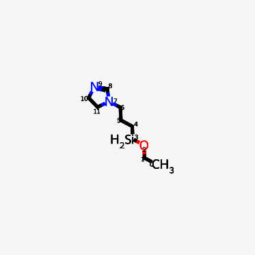 CCO[SiH2]CCCN1C=NCC1